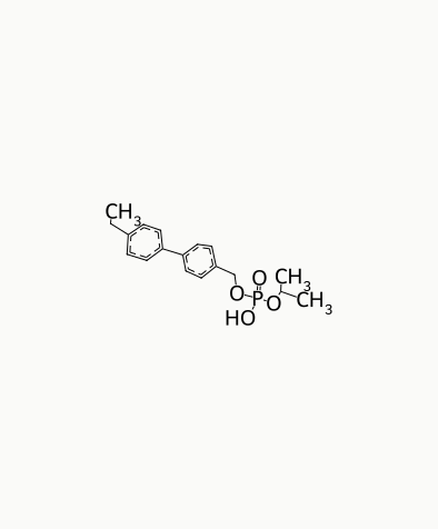 CCc1ccc(-c2ccc(COP(=O)(O)OC(C)C)cc2)cc1